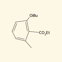 CCOC(=O)c1c(C)cccc1OCC(C)C